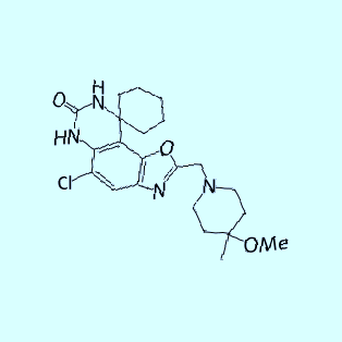 COC1(C)CCN(Cc2nc3cc(Cl)c4c(c3o2)C2(CCCCC2)NC(=O)N4)CC1